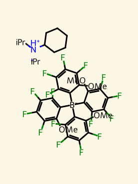 CC(C)[NH+](C(C)C)C1CCCCC1.COc1c(F)c(F)c(F)c(F)c1[B-](c1c(F)c(F)c(F)c(F)c1OC)(c1c(F)c(F)c(F)c(F)c1OC)c1c(F)c(F)c(F)c(F)c1OC